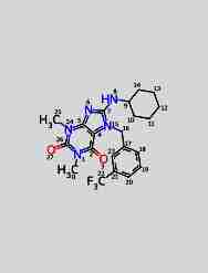 Cn1c(=O)c2c(nc(NC3CCCCC3)n2Cc2cccc(C(F)(F)F)c2)n(C)c1=O